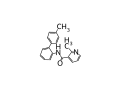 Cc1ccc(-c2ccccc2NC(=O)c2cccnc2C)cc1